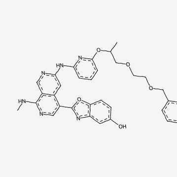 CNc1ncc(-c2nc3cc(O)ccc3o2)c2cc(Nc3cccc(OC(C)COCCOCc4ccccc4)n3)ncc12